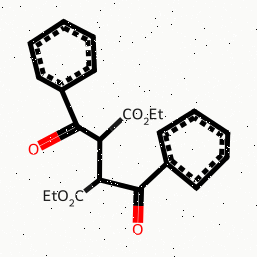 CCOC(=O)C(C(=O)c1ccccc1)C(C(=O)OCC)C(=O)c1ccccc1